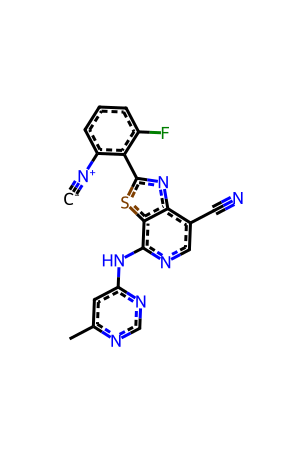 [C-]#[N+]c1cccc(F)c1-c1nc2c(C#N)cnc(Nc3cc(C)ncn3)c2s1